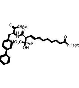 CCCCCCCC(=O)CCCCCC/C=C/[C@H](C(=O)N[C@@H](Cc1ccc(-c2ccccc2)cc1)C(=O)OC)[C@@](O)(CCC)C(=O)O